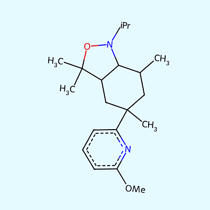 COc1cccc(C2(C)CC(C)C3C(C2)C(C)(C)ON3C(C)C)n1